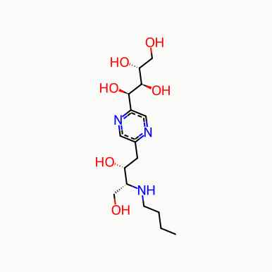 CCCCN[C@H](CO)[C@H](O)Cc1cnc([C@@H](O)[C@H](O)[C@H](O)CO)cn1